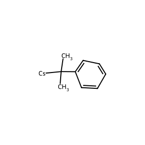 C[C](C)([Cs])c1ccccc1